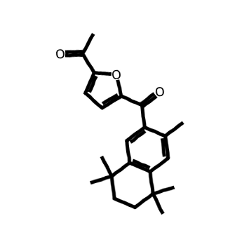 CC(=O)c1ccc(C(=O)c2cc3c(cc2C)C(C)(C)CCC3(C)C)o1